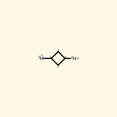 [2H]C1CC([2H])C1